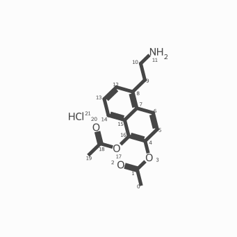 CC(=O)Oc1ccc2c(CCN)cccc2c1OC(C)=O.Cl